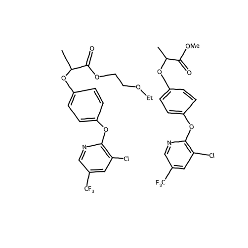 CCOCCOC(=O)C(C)Oc1ccc(Oc2ncc(C(F)(F)F)cc2Cl)cc1.COC(=O)C(C)Oc1ccc(Oc2ncc(C(F)(F)F)cc2Cl)cc1